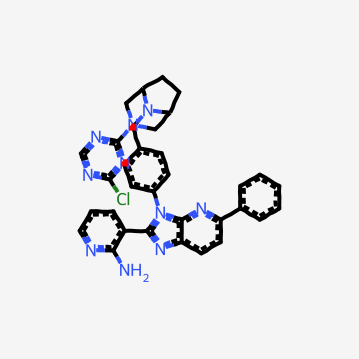 Nc1ncccc1-c1nc2ccc(-c3ccccc3)nc2n1-c1ccc(CN2C3CCC2CN(c2ncnc(Cl)n2)C3)cc1